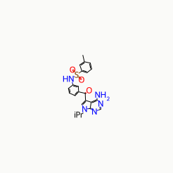 Cc1cccc(S(=O)(=O)Nc2cccc(C(=O)c3cn(C(C)C)c4ncnc(N)c34)c2)c1